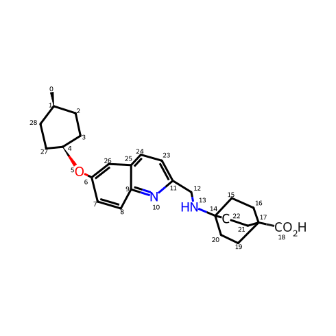 C[C@H]1CC[C@@H](Oc2ccc3nc(CNC45CCC(C(=O)O)(CC4)CC5)ccc3c2)CC1